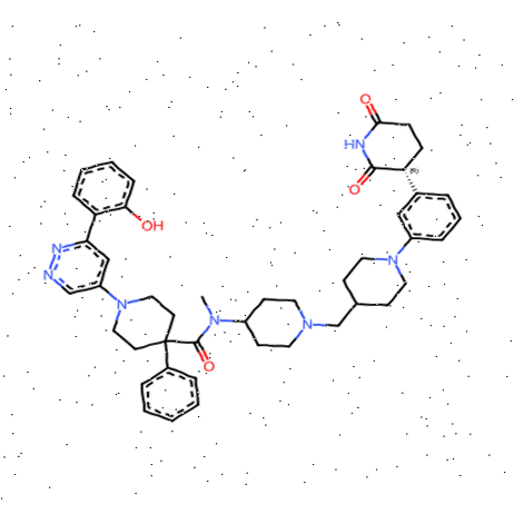 CN(C(=O)C1(c2ccccc2)CCN(c2cnnc(-c3ccccc3O)c2)CC1)C1CCN(CC2CCN(c3cccc([C@H]4CCC(=O)NC4=O)c3)CC2)CC1